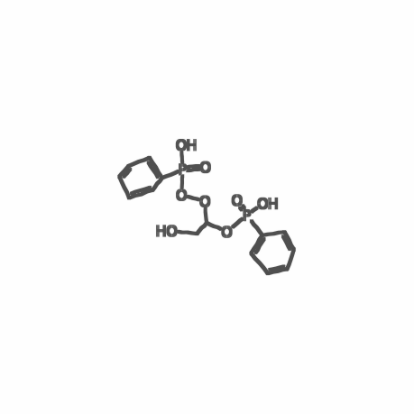 O=P(O)(OOC(CO)OP(=O)(O)c1ccccc1)c1ccccc1